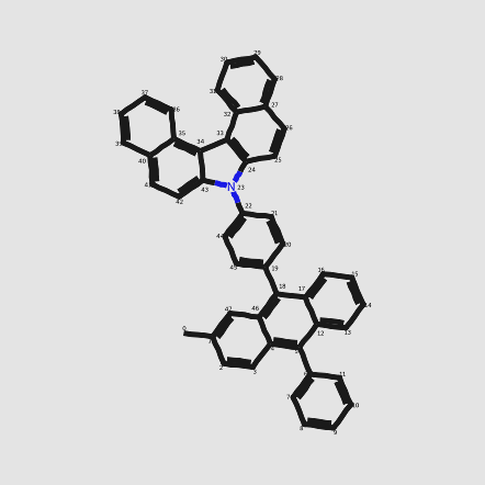 Cc1ccc2c(-c3ccccc3)c3ccccc3c(-c3ccc(-n4c5ccc6ccccc6c5c5c6ccccc6ccc54)cc3)c2c1